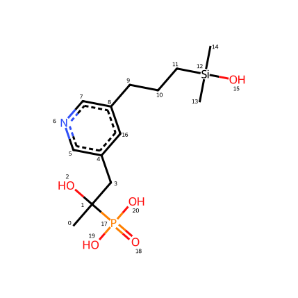 CC(O)(Cc1cncc(CCC[Si](C)(C)O)c1)P(=O)(O)O